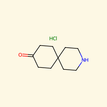 Cl.O=C1CCC2(CCNCC2)CC1